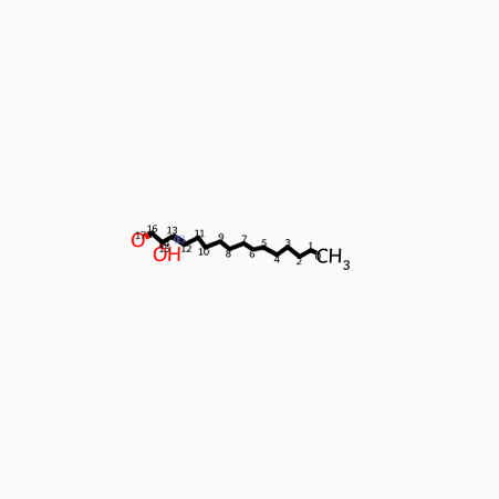 CCCCCCCCCCCC/C=C/C(O)C=O